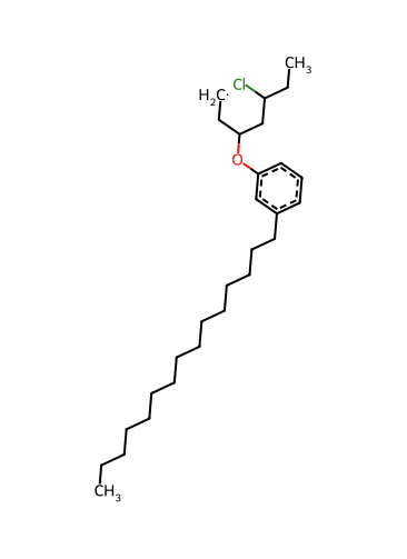 [CH2]CC(CC(Cl)CC)Oc1cccc(CCCCCCCCCCCCCCC)c1